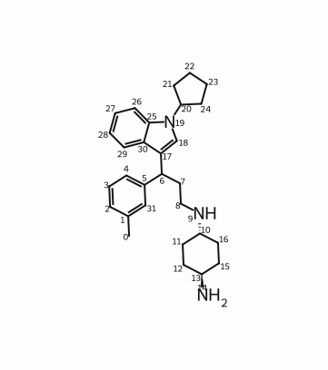 Cc1cccc(C(CCN[C@H]2CC[C@H](N)CC2)c2cn(C3CCCC3)c3ccccc23)c1